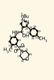 CCCCn1cc(C(O)Nc2ccc(C)c(S(=O)(=O)N3CCOCC3)c2)c(-c2ccc(C)cc2)n1